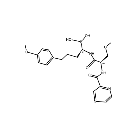 COC[C@@H](NC(=O)c1cnccn1)C(=O)N[C@@H](CCCc1ccc(OC)cc1)B(O)O